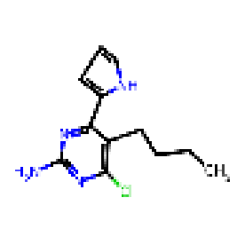 CCCCc1c(Cl)nc(N)nc1-c1ccc[nH]1